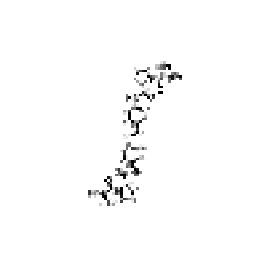 CC(C)N(C(=O)N1CCC[C@H]1C(=O)Nc1ccc(/C=C/c2ccc(NC(=O)[C@@H]3CCCN3C(=O)N(C(C)C)C(C)C)cc2)cc1)C(C)C